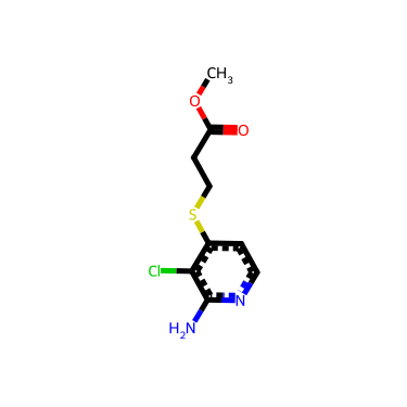 COC(=O)CCSc1ccnc(N)c1Cl